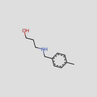 Cc1ccc(CNCCCO)cc1